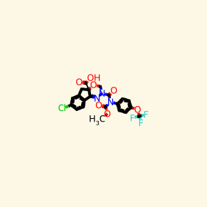 COC(=O)N(C(=O)N1CO[C@@]2(C(=O)O)Cc3cc(Cl)ccc3C2=N1)c1ccc(OC(F)(F)F)cc1